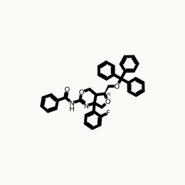 O=C(NC1=NC2(c3ccccc3F)CO[C@H](COC(c3ccccc3)(c3ccccc3)c3ccccc3)C2CO1)c1ccccc1